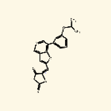 CC(C)Oc1cccc(-c2cncc3cc(/C=C4/SC(=S)NC4=O)oc23)c1